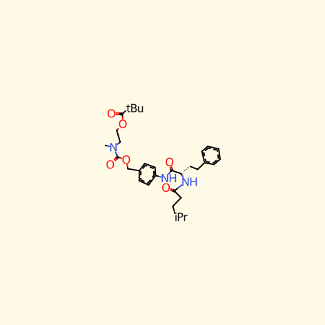 CC(C)CCC(=O)N[C@@H](CCc1ccccc1)C(=O)Nc1ccc(COC(=O)N(C)CCOC(=O)C(C)(C)C)cc1